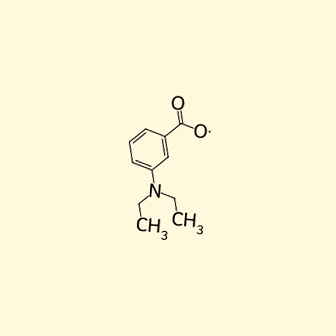 CCN(CC)c1cccc(C([O])=O)c1